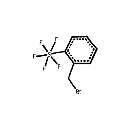 FS(F)(F)(F)(F)c1ccccc1CBr